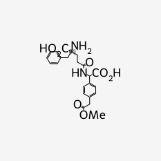 COC(=O)Cc1ccc(C(NC(=O)CC[C@@](N)(Cc2ccccc2)C(=O)O)C(=O)O)cc1